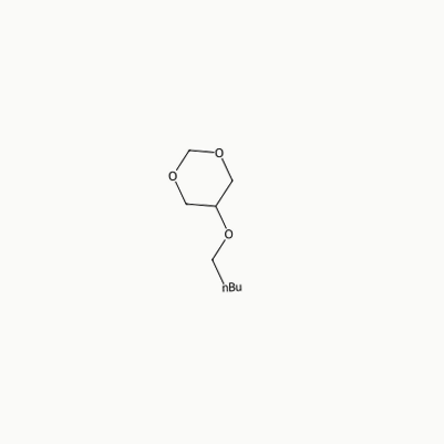 CCCCCOC1COCOC1